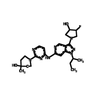 CCC(C)n1nc(N2CC(O)C(F)C2)c2cnc(Nc3ccnc(N4CCC(C)(O)CC4)n3)cc21